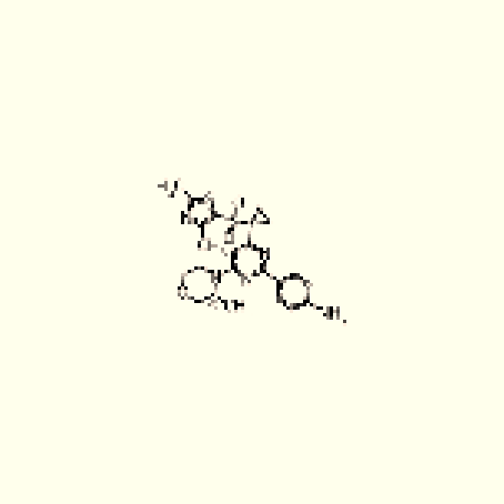 Cc1nc(C)c(S(=O)(=O)C2(c3cc(N4CCOC[C@@H]4C)nc(-c4ccc(N)cc4)n3)CC2)s1